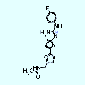 CC(=O)NCc1ccc(-c2csc(/N=C(\N)Nc3ccc(F)cc3)n2)o1